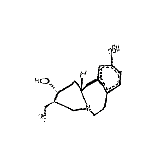 CCCCc1ccc2c(c1)[C@H]1C[C@@H](O)[C@H](C[18F])CN1CC2